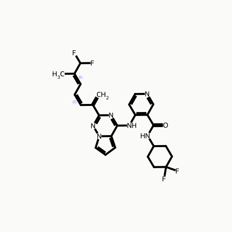 C=C(/C=C\C=C(/C)C(F)F)c1nc(Nc2ccncc2C(=O)NC2CCC(F)(F)CC2)c2cccn2n1